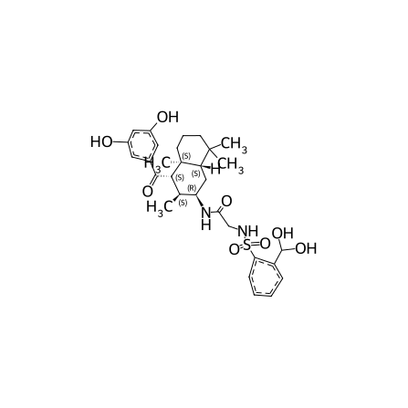 C[C@@H]1[C@H](NC(=O)CNS(=O)(=O)c2ccccc2C(O)O)C[C@H]2C(C)(C)CCC[C@]2(C)[C@H]1C(=O)c1cc(O)cc(O)c1